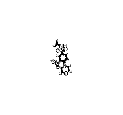 CC(C)NS(=O)(=O)c1ccc(N2CCOCC2)c([N+](=O)[O-])c1